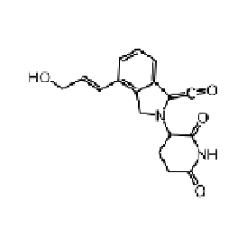 O=C=C1c2cccc(C=CCO)c2CN1C1CCC(=O)NC1=O